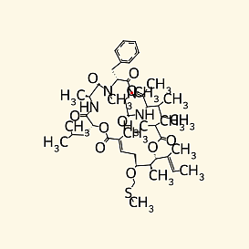 C/C=C(\C)[C@@H](OC(=O)C(C)C)[C@@H](C)[C@H](C/C=C(\C)C(=O)O[C@H](CC(C)C)C(=O)N[C@@H](C)C(=O)N(C)[C@H](Cc1ccccc1)C(=O)N(C)CC(=O)N[C@H](C(C)=O)C(C)CC)OCSC